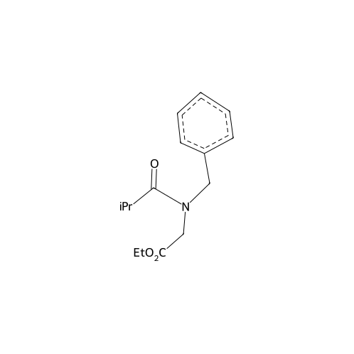 [CH2]C(C)C(=O)N(CC(=O)OCC)Cc1ccccc1